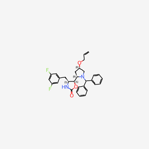 C=CCO[C@@H]1C[C@H]([C@H]2OC(=O)N[C@H]2Cc2cc(F)cc(F)c2)N(C(c2ccccc2)c2ccccc2)C1